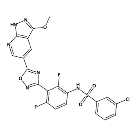 COc1n[nH]c2ncc(-c3nc(-c4c(F)ccc(NS(=O)(=O)c5cccc(Cl)c5)c4F)no3)cc12